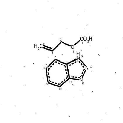 C=CCOC(=O)O.c1ccc2[nH]nnc2c1